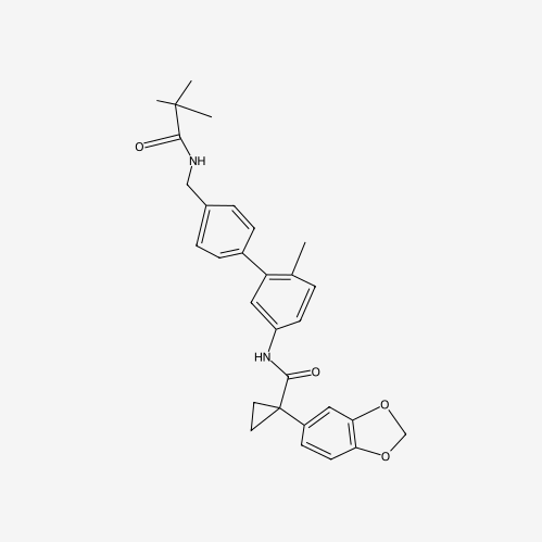 Cc1ccc(NC(=O)C2(c3ccc4c(c3)OCO4)CC2)cc1-c1ccc(CNC(=O)C(C)(C)C)cc1